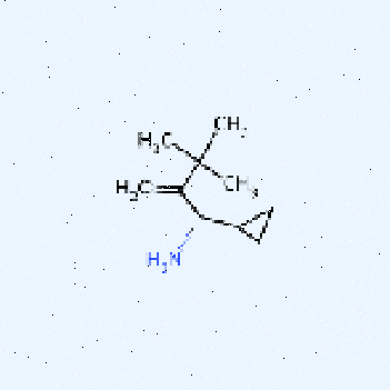 C=C([C@@H](N)C1CC1)C(C)(C)C